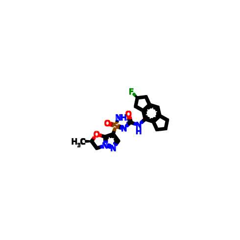 C[C@@H]1Cn2ncc(S(N)(=O)=NC(=O)Nc3c4c(cc5c3C[C@@H](F)C5)CCC4)c2O1